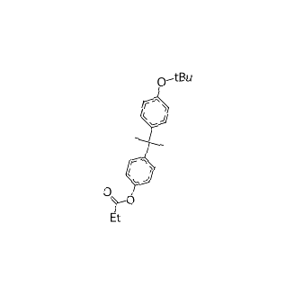 CCC(=O)Oc1ccc(C(C)(C)c2ccc(OC(C)(C)C)cc2)cc1